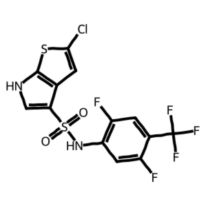 O=S(=O)(Nc1cc(F)c(C(F)(F)F)cc1F)c1c[nH]c2sc(Cl)cc12